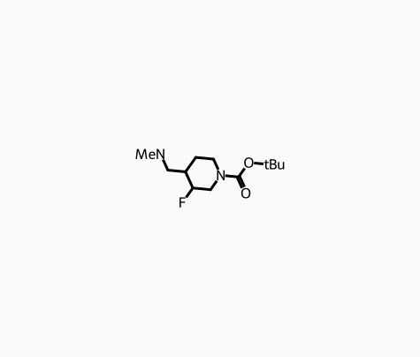 CNCC1CCN(C(=O)OC(C)(C)C)CC1F